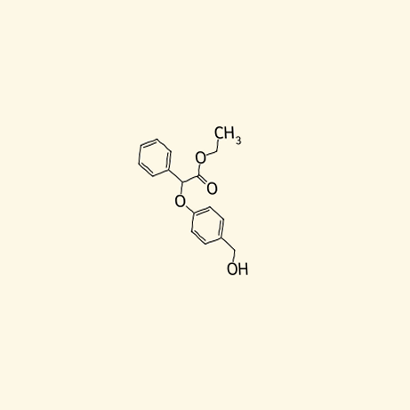 CCOC(=O)C(Oc1ccc(CO)cc1)c1ccccc1